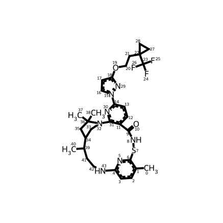 Cc1ccc2nc1SNC(=O)c1ccc(-n3ccc(OCCC4(C(F)(F)F)CC4)n3)nc1N1CC(CC1(C)C)C(C)CCN2